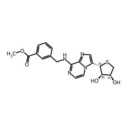 COC(=O)c1cccc(CNc2nccn3c([C@@H]4SC[C@@H](O)[C@H]4O)cnc23)c1